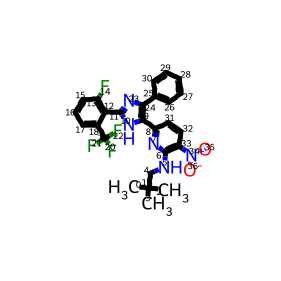 CC(C)(C)CNc1nc(-c2[nH]c(-c3c(F)cccc3C(F)(F)F)nc2-c2ccccc2)ccc1[N+](=O)[O-]